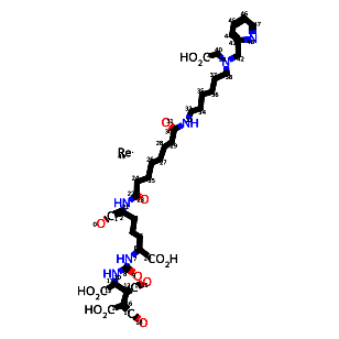 O=C=C(CCCC(NC(=O)NC(C(=O)O)C(=C=O)C(=C=O)C(=O)O)C(=O)O)NC(=O)CCCCCCC(=O)NCCCCCCN(CC(=O)O)Cc1ccccn1.[Re]